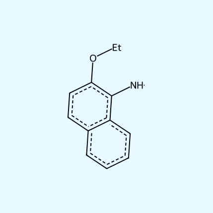 CCOc1ccc2ccccc2c1[NH]